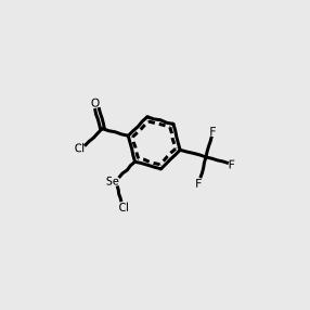 O=C(Cl)c1ccc(C(F)(F)F)cc1[Se]Cl